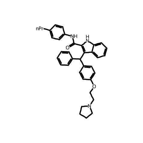 CCCc1ccc(NC(=O)c2[nH]c3ccccc3c2C(c2ccccc2)c2ccc(OCCN3CCCC3)cc2)cc1